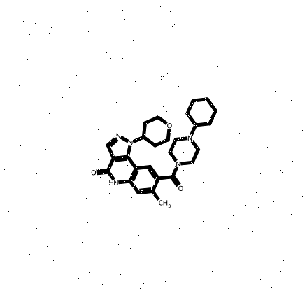 Cc1cc2[nH]c(=O)c3cnn(C4CCOCC4)c3c2cc1C(=O)N1CCN(C2CCCCC2)CC1